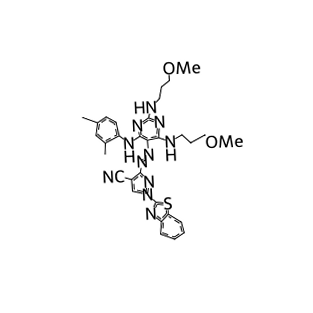 COCCCNc1nc(NCCCOC)c(N=Nc2nn(-c3nc4ccccc4s3)cc2C#N)c(Nc2ccc(C)cc2C)n1